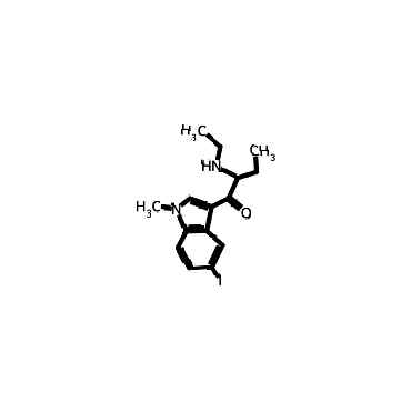 CCNC(CC)C(=O)c1cn(C)c2ccc(I)cc12